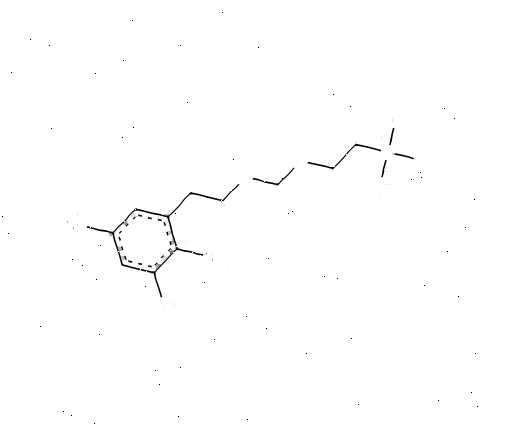 CC(C)c1cc(C#N)cc(CCOCOCC[Si](C)(C)C)c1N